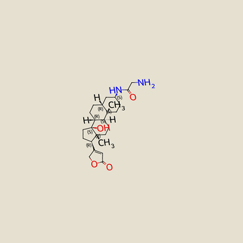 C[C@]12CC[C@H](NC(=O)CN)C[C@H]1CC[C@@H]1[C@@H]2CC[C@]2(C)[C@@H](C3=CC(=O)OC3)CC[C@]12O